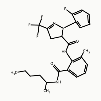 CCCCC(C)NC(=O)c1cccc(C)c1NC(=O)C1CC(C(F)(F)F)=NN1c1ccccc1F